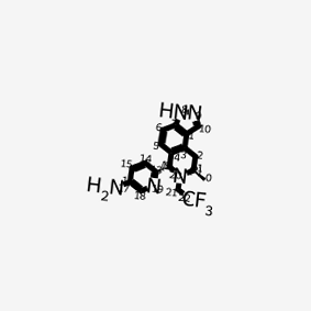 C[C@@H]1Cc2c(ccc3[nH]ncc23)[C@@H](c2ccc(N)cn2)N1CC(F)(F)F